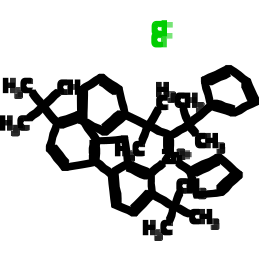 CC(C)(C)c1ccc2c(c1)Cc1c-2ccc(C(C)(C)C)[c]1[Zr+2]([C]1=CC=CC1)=[C](C(C)(C)c1ccccc1)C(C)(C)c1ccccc1.[Cl-].[Cl-]